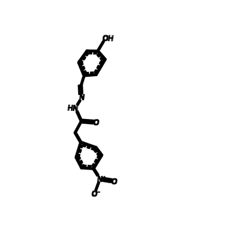 O=C(Cc1ccc([N+](=O)[O-])cc1)N/N=C/c1ccc(O)cc1